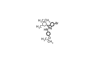 CC(C)Oc1ccc(Nc2nc3cc(Br)ccc3n2[C@H]2C[C@@H](C)CC(C)(C)C2)cc1